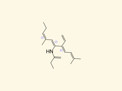 C=CC(=C\C=C(C)C)/C(=C/C(C)=C\CC)NC(=C)CC